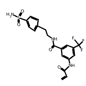 C=CC(=O)Nc1cc(C(=O)NCCc2ccc(S(N)(=O)=O)cc2)cc(C(F)(F)F)c1